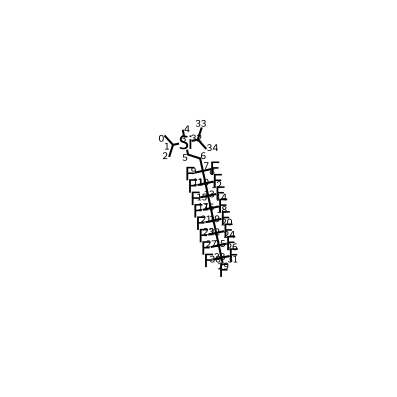 CC(C)[Si](C)(CCC(F)(F)C(F)(F)C(F)(F)C(F)(F)C(F)(F)C(F)(F)C(F)(F)C(F)(F)F)C(C)C